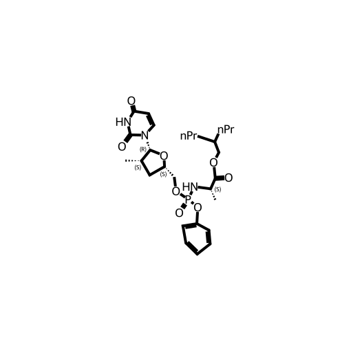 CCCC(CCC)COC(=O)[C@H](C)NP(=O)(OC[C@@H]1C[C@H](C)[C@H](n2ccc(=O)[nH]c2=O)O1)Oc1ccccc1